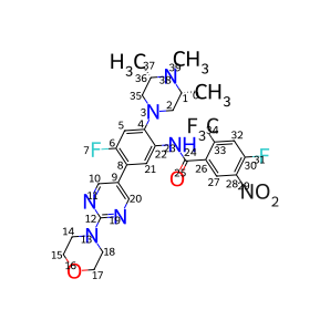 C[C@@H]1CN(c2cc(F)c(-c3cnc(N4CCOCC4)nc3)cc2NC(=O)c2cc([N+](=O)[O-])c(F)cc2C(F)(F)F)C[C@H](C)N1C